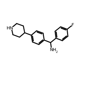 NC(c1ccc(F)cc1)c1ccc(C2CCNCC2)cc1